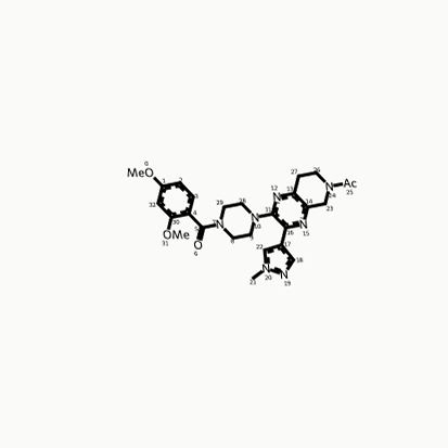 COc1ccc(C(=O)N2CCN(c3nc4c(nc3-c3cnn(C)c3)CN(C(C)=O)CC4)CC2)c(OC)c1